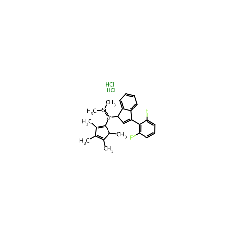 CC1=C(C)C(C)[C]([Zr]([CH]2C=C(c3c(F)cccc3F)c3ccccc32)=[Si](C)C)=C1C.Cl.Cl